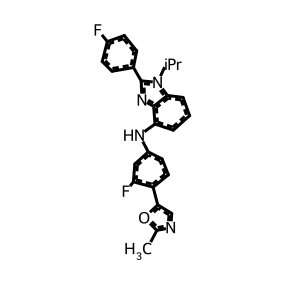 Cc1ncc(-c2ccc(Nc3cccc4c3nc(-c3ccc(F)cc3)n4C(C)C)cc2F)o1